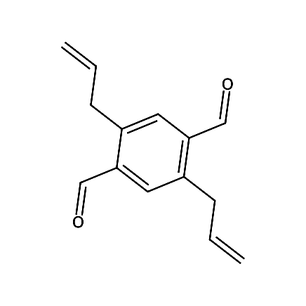 C=CCc1cc(C=O)c(CC=C)cc1C=O